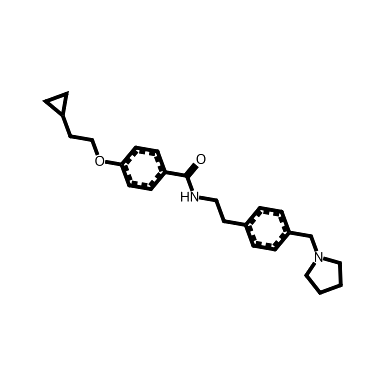 O=C(NCCc1ccc(CN2CCCC2)cc1)c1ccc(OCCC2CC2)cc1